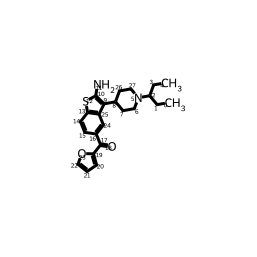 CCC(CC)N1CCC(c2c(N)sc3ccc(C(=O)c4ccco4)cc23)CC1